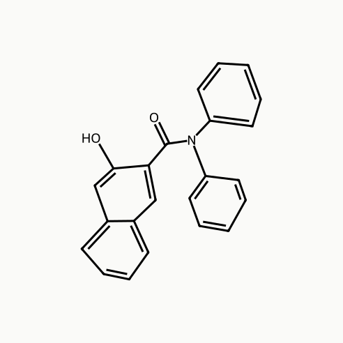 O=C(c1cc2ccccc2cc1O)N(c1ccccc1)c1ccccc1